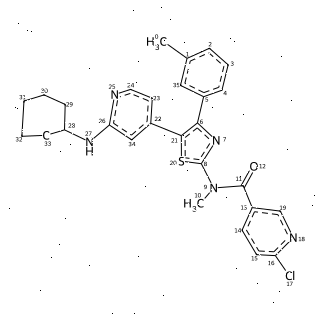 Cc1cccc(-c2nc(N(C)C(=O)c3ccc(Cl)nc3)sc2-c2ccnc(NC3CCCCC3)c2)c1